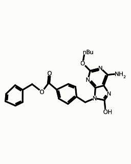 CCCCOc1nc(N)c2nc(O)n(Cc3ccc(C(=O)OCc4ccccc4)cc3)c2n1